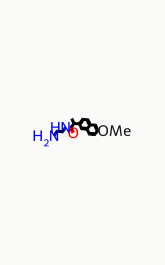 COc1ccc2cc(C(C)C(=O)NCCN)ccc2c1